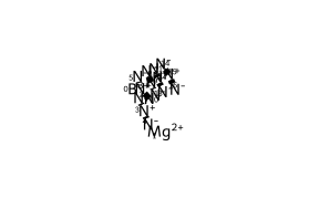 [B+3].[Mg+2].[N-]=[N+]=[N-].[N-]=[N+]=[N-].[N-]=[N+]=[N-].[N-]=[N+]=[N-].[N-]=[N+]=[N-]